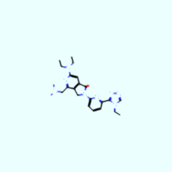 CCN(CC)c1cc2c(c(CN(C)C)n1)CN(c1cccc(-c3nncn3CC)n1)C2=O